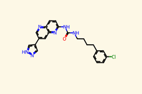 O=C(NCCCCc1cccc(Cl)c1)Nc1ccc2ncc(-c3cn[nH]c3)cc2n1